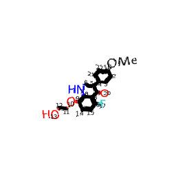 COc1ccc(-c2c[nH]c3c(OCCO)ccc(F)c3c2=O)cc1